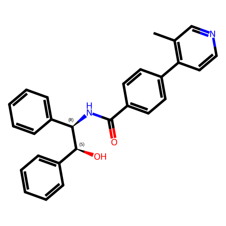 Cc1cnccc1-c1ccc(C(=O)N[C@H](c2ccccc2)[C@@H](O)c2ccccc2)cc1